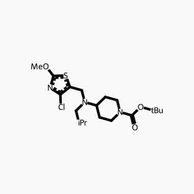 COc1nc(Cl)c(CN(CC(C)C)C2CCN(C(=O)OC(C)(C)C)CC2)s1